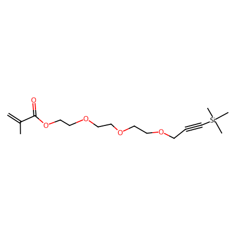 C=C(C)C(=O)OCCOCCOCCOCC#C[Si](C)(C)C